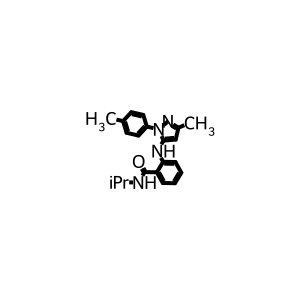 Cc1ccc(-n2nc(C)cc2Nc2ccccc2C(=O)NC(C)C)cc1